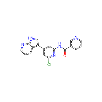 O=C(Nc1cc(-c2c[nH]c3ncccc23)cc(Cl)n1)c1cccnc1